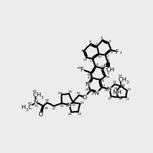 C#Cc1c(F)ccc2cccc(-c3c(F)cc4c(N5CC6CC[C@@](C)(C5)N6)nc(OCC56CCCN5C(CCC(=O)N(C)C)CC6)nc4c3F)c12